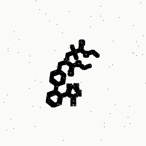 CCOC(=O)N(Cc1ccc(-c2ccccc2-c2nnn[nH]2)cc1)CC(C)(C)C(=O)OCC